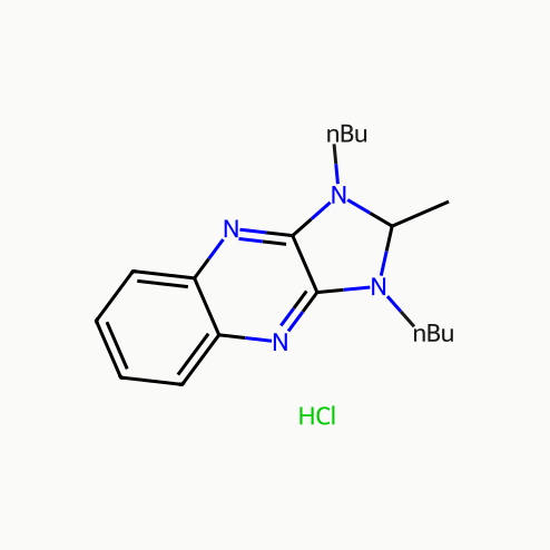 CCCCN1c2nc3ccccc3nc2N(CCCC)C1C.Cl